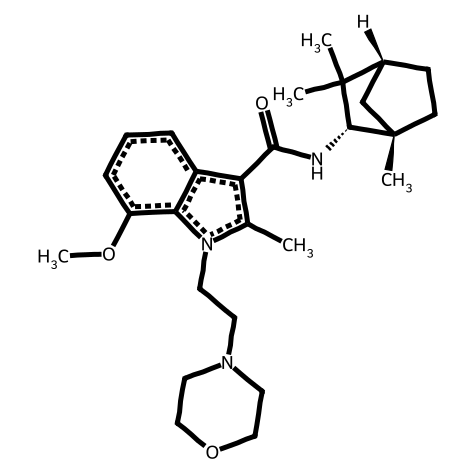 COc1cccc2c(C(=O)N[C@@H]3C(C)(C)[C@@H]4CC[C@@]3(C)C4)c(C)n(CCN3CCOCC3)c12